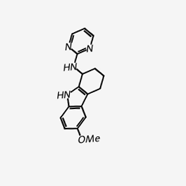 COc1ccc2[nH]c3c(c2c1)CCCC3Nc1ncccn1